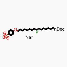 CCCCCCCCCCCCCCCCCC(F)CCCCCCC=COc1ccc(S(=O)(=O)[O-])cc1.[Na+]